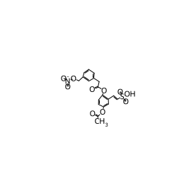 CC(=O)Oc1ccc(OC(=O)Cc2cccc(CO[N+](=O)[O-])c2)c(C=CS(=O)(=O)O)c1